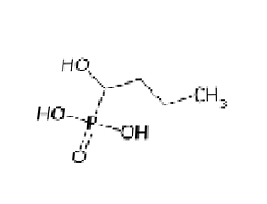 CCCC(O)P(=O)(O)O